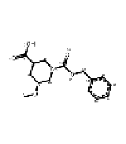 CO[C@H]1CC(C(=O)O)CN(C(=O)OCc2ccccc2)C1